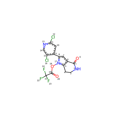 O=C1NCCc2c1cc(-c1cc(Cl)ncc1Cl)n2OC(=O)C(F)(F)F